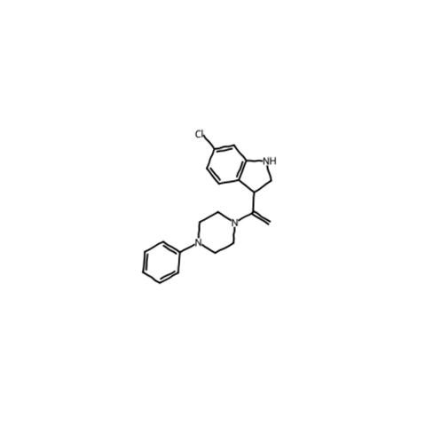 C=C(C1CNc2cc(Cl)ccc21)N1CCN(c2ccccc2)CC1